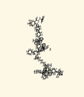 C=C(CCC(F)F)C1=C(CN2CCN(c3ccc(C(=O)NS(=O)(=O)c4ccc(N[C@H](CCN(C)CCCCCCNC(=O)C[C@H](NC(=O)[C@@H]5CCCN5C(=O)CC(C)(C)C)c5ccc(-c6scnc6C)cc5)CSc5ccccc5)c(S(=O)(=O)C(F)(F)F)c4)cc3)CC2)CCC(C)(C)C1